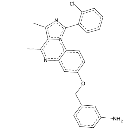 Cc1nc(-c2ccccc2Cl)n2c1c(C)nc1cc(OCc3cccc(N)c3)ccc12